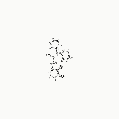 [O]c1cccc(COC(=O)N(c2ccccc2)c2ccccc2)c1Br